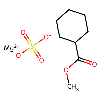 COC(=O)C1CCCCC1.O=S(=O)([O-])[O-].[Mg+2]